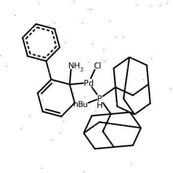 CCCC[PH]([Pd]([Cl])[C]1(N)CC=CC=C1c1ccccc1)(C12CC3CC(CC(C3)C1)C2)C12CC3CC(CC(C3)C1)C2